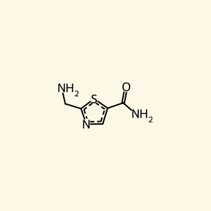 NCc1ncc(C(N)=O)s1